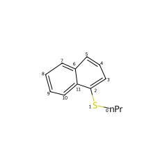 [CH2]CCSc1cccc2ccccc12